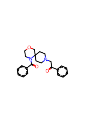 O=C(CN1CCC2(CC1)COCCN2C(=O)c1ccccc1)c1ccccc1